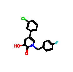 O=c1c(O)cc(-c2cccc(Cl)c2)cn1Cc1ccc(F)cc1